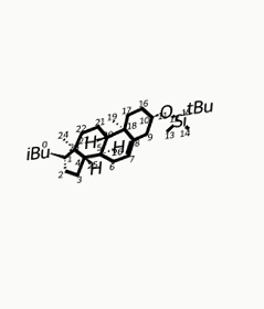 CC[C@H](C)[C@H]1CC[C@H]2[C@@H]3CC=C4C[C@@H](O[Si](C)(C)C(C)(C)C)CC[C@]4(C)[C@H]3CC[C@]12C